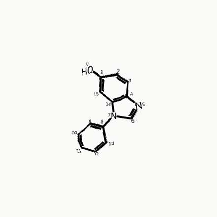 Oc1ccc2ncn(-c3ccccc3)c2c1